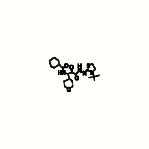 CC(C)(C)N1CCSC1=NNC(=O)C(=O)C(NC(=O)C1CCCCC1)C1CCOCC1